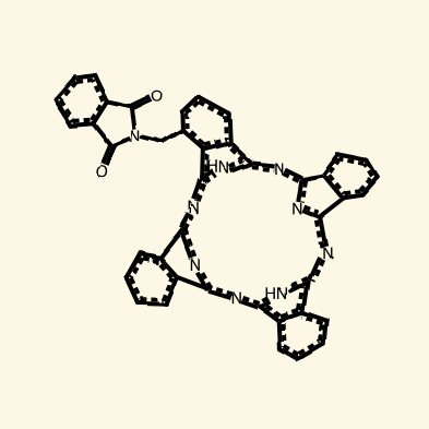 O=C1c2ccccc2C(=O)N1Cc1cccc2c3nc4nc(nc5[nH]c(nc6nc(nc([nH]3)c12)-c1ccccc1-6)c1ccccc51)-c1ccccc1-4